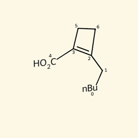 CCCCCC1=C(C(=O)O)CC1